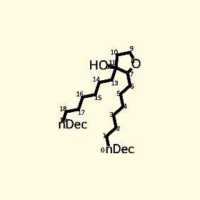 CCCCCCCCCCCCCCCCC1OCCC1(O)CCCCCCCCCCCCCCCC